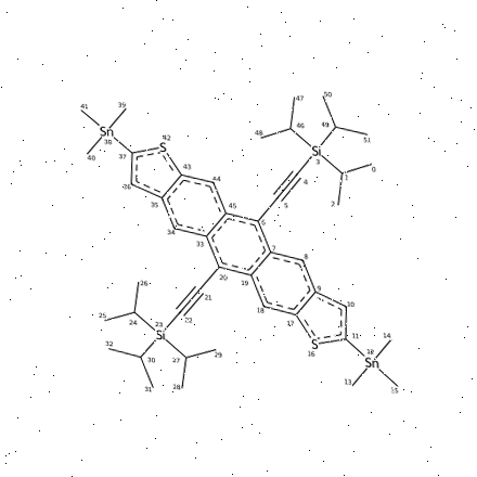 CC(C)[Si](C#Cc1c2cc3c[c]([Sn]([CH3])([CH3])[CH3])sc3cc2c(C#C[Si](C(C)C)(C(C)C)C(C)C)c2cc3c[c]([Sn]([CH3])([CH3])[CH3])sc3cc12)(C(C)C)C(C)C